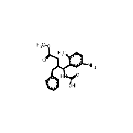 COC(=O)CC(Cc1ccccc1)C(NC(=O)O)c1cc(N)ccc1C